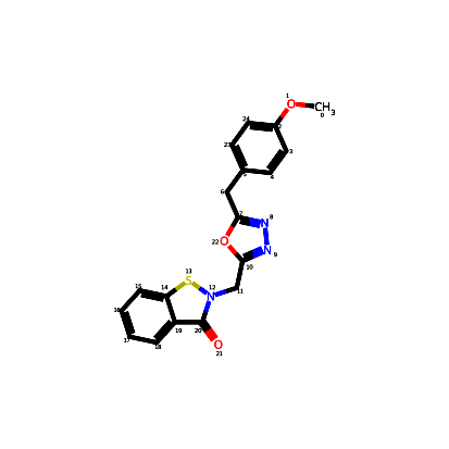 COc1ccc(Cc2nnc(Cn3sc4ccccc4c3=O)o2)cc1